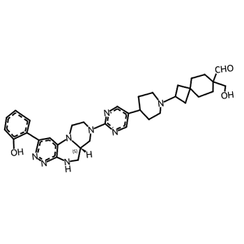 O=CC1(CO)CCC2(CC1)CC(N1CCC(c3cnc(N4CCN5c6cc(-c7ccccc7O)nnc6NC[C@H]5C4)nc3)CC1)C2